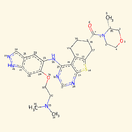 C[C@@H]1COCCN1C(=O)[C@H]1CCc2c(sc3ncnc(Nc4cc5cn[nH]c5cc4OCCN(C)C)c23)C1